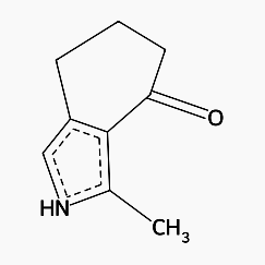 Cc1[nH]cc2c1C(=O)CCC2